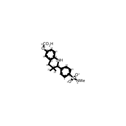 CNS(=O)(=O)c1ccc(C2Nc3ccc(OC(=O)O)cc3CC2(C)C)cc1